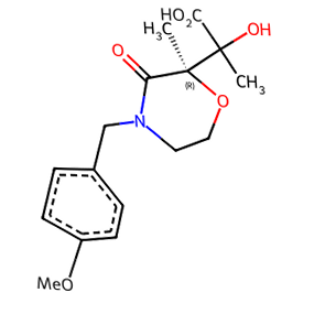 COc1ccc(CN2CCO[C@](C)(C(C)(O)C(=O)O)C2=O)cc1